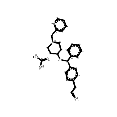 C=CCc1ccc(C(OC2CCN(Cc3ccccn3)CC2)c2ccccc2)cc1.O=C(O)O